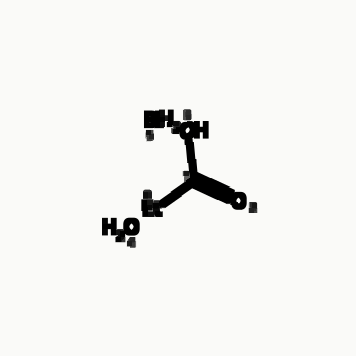 CCC(=O)O.O.[BiH3]